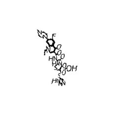 CCn1cc(C(=O)NC2C(=O)N3C(OC(=O)O)=C(CSc4cnn[nH]4)CS[C@@H]23)c(=O)c2cc(F)c(N3CCN(C)CC3)cc21